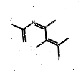 C=C(C)/N=C(C)\C(C)=C(/C)F